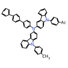 CC(=O)c1ccc(-n2c3ccccc3c3cc(N(c4ccc(-c5ccc(-c6ccccc6)cc5)cc4)c4ccc5c(c4)c4ccccc4n5-c4ccc(C)cc4)ccc32)cc1